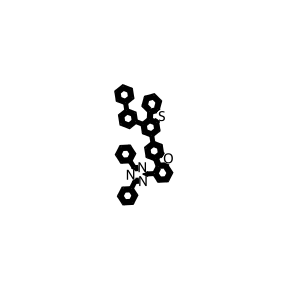 c1ccc(-c2cccc(-c3cc(-c4ccc5c(c4)oc4cccc(-c6nc(-c7ccccc7)nc(-c7ccccc7)n6)c45)cc4sc5ccccc5c34)c2)cc1